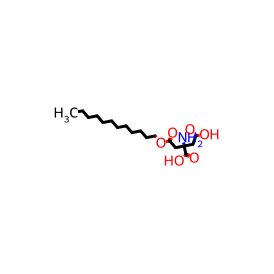 CCCCCCCCCCCCOC(=O)CC(N)(CC(=O)O)C(=O)O